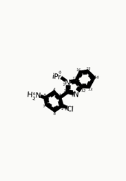 CC(C)n1c(-c2cc(N)ccc2Cl)nc2ccccc21